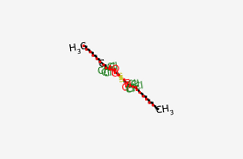 CCCCCCCCCCCCCCC(Cl)C(Cl)(Cl)C(Cl)(Cl)C(=O)OCCSSCCOC(=O)C(Cl)(Cl)C(Cl)(Cl)C(Cl)CCCCCCCCCCCCCC